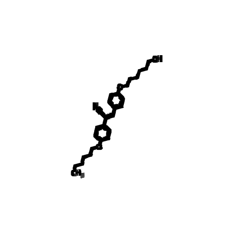 CCCCCCOc1ccc(C(C#N)=Cc2ccc(OCCCCCCO)cc2)cc1